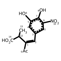 CC(=O)C(=Cc1cc(O)c(O)c([N+](=O)[O-])c1)C(C)C(=O)O